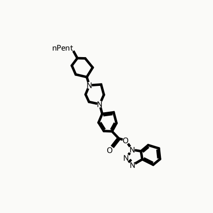 CCCCCC1CCC(N2CCN(c3ccc(C(=O)On4nnc5ccccc54)cc3)CC2)CC1